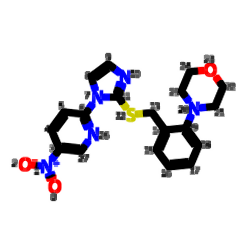 O=[N+]([O-])c1ccc(-n2ccnc2SCc2ccccc2N2CCOCC2)nc1